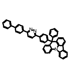 c1ccc(-c2ccc(-c3ccc(-c4ccc(C5(c6ccccc6)c6ccccc6-n6c7ccccc7c7cccc5c76)cc4)nn3)cc2)cc1